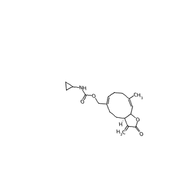 C=C1C(=O)OC2C=C(C)CCC=C(COC(=O)NC3CC3)CC[C@H]12